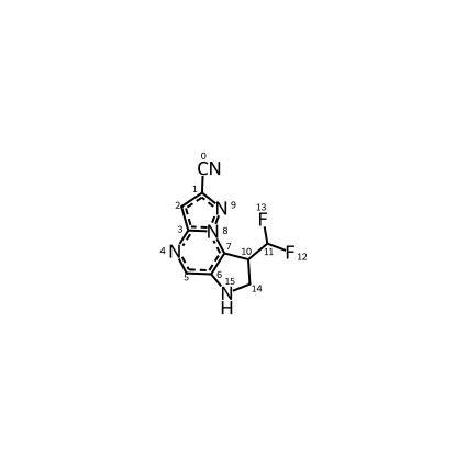 N#Cc1cc2ncc3c(n2n1)C(C(F)F)CN3